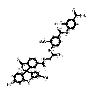 C=C(CNC(=O)c1ccc2c(c1)C1(OC2=O)c2ccc(O)cc2Oc2cc(O)ccc21)Nc1ccc(C(=O)Nc2ccc(C(N)=O)cc2OCC(C)C)cc1OCC(C)C